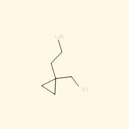 OCCC1(CO)CC1